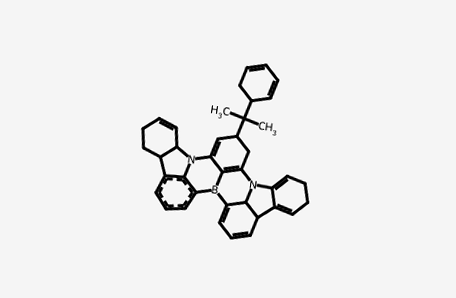 CC(C)(C1C=CC=CC1)C1C=C2C3=C(C1)N1C4=CCCC=C4C4C=CC=C(B3c3cccc5c3N2C2C=CCCC52)C41